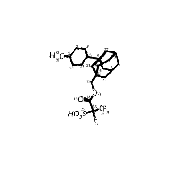 CC1CCC(C23CC4CC(CC(COC(=O)C(F)(C(F)(F)F)S(=O)(=O)O)(C4)C2)C3)CC1